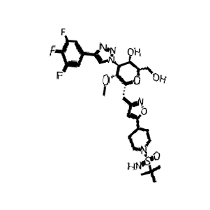 CO[C@@H]1[C@@H](n2cc(-c3cc(F)c(F)c(F)c3)nn2)[C@@H](O)[C@@H](CO)O[C@@H]1Cc1cc(C2CCN(S(=N)(=O)C(C)(C)C)CC2)on1